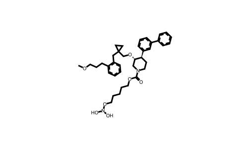 COCCCc1ccccc1CC1(CO[C@H]2CN(C(=O)OCCCCCON(O)O)CC[C@@H]2c2cccc(-c3ccccc3)c2)CC1